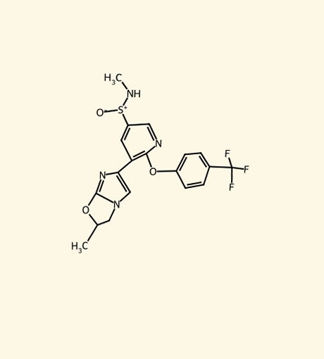 CN[S+]([O-])c1cnc(Oc2ccc(C(F)(F)F)cc2)c(-c2cn3c(n2)OC(C)C3)c1